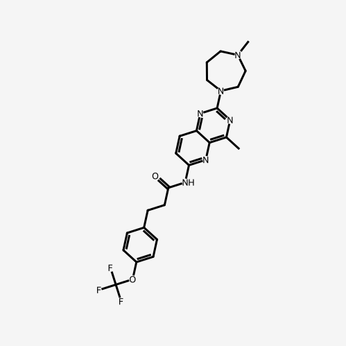 Cc1nc(N2CCCN(C)CC2)nc2ccc(NC(=O)CCc3ccc(OC(F)(F)F)cc3)nc12